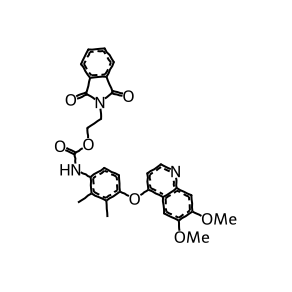 COc1cc2nccc(Oc3ccc(NC(=O)OCCN4C(=O)c5ccccc5C4=O)c(C)c3C)c2cc1OC